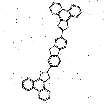 c1cnc2c(c1)c1c(c3ncccc32)N=C(c2ccc3c(c2)Cc2cc(C4=Nc5c(c6cccnc6c6cccnc56)C4)ccc2-3)C1